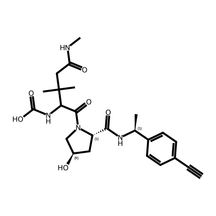 C#Cc1ccc([C@H](C)NC(=O)[C@@H]2C[C@@H](O)CN2C(=O)C(NC(=O)O)C(C)(C)CC(=O)NC)cc1